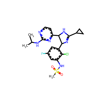 CC(C)Nc1nccc(C2NC(C3CC3)=NC2c2cc(F)cc(NS(C)(=O)=O)c2Cl)n1